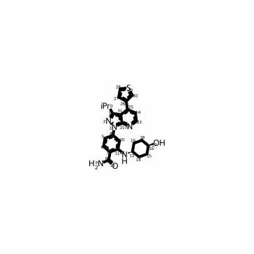 CC(C)c1nn(-c2ccc(C(N)=O)c(N[C@H]3CC[C@H](O)CC3)c2)c2nccc(-c3ccsc3)c12